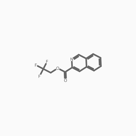 O=C(OCC(F)(F)F)c1cc2ccccc2cn1